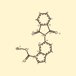 CC(C)(C)OC(=O)n1ccc2ccc(N3C(=O)c4ccccc4C3=O)nc21